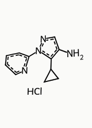 Cl.Nc1cnn(-c2ccccn2)c1C1CC1